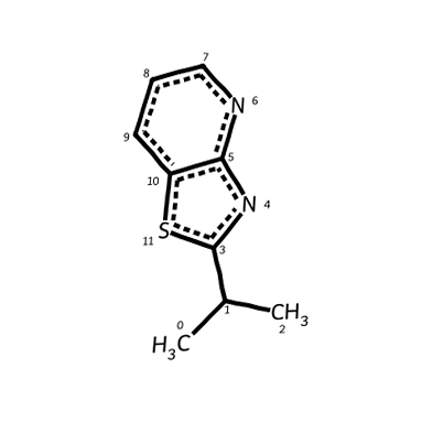 CC(C)c1nc2ncccc2s1